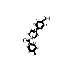 Cc1ccc(C(=O)N2CCN(c3ccc(O)cc3)CC2)cc1